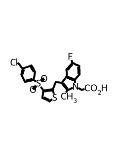 Cc1c(Cc2sccc2S(=O)(=O)c2ccc(Cl)cc2)c2cc(F)ccc2n1CC(=O)O